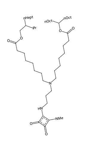 CCCCCCCCC(CCCCCCCC)OC(=O)CCCCCCCN(CCCCCCCC(=O)OCC(CCCCCCC)C(C)C)CCCNc1c(NC)c(=O)c1=O